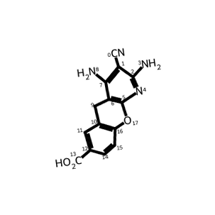 N#Cc1c(N)nc2c(c1N)Cc1cc(C(=O)O)ccc1O2